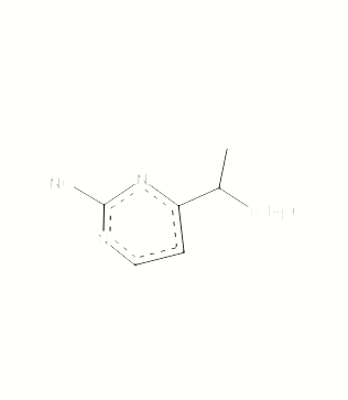 CCCCCCCC(CC)c1ccnc(C#N)n1